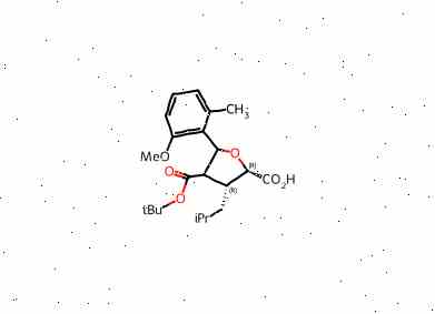 COc1cccc(C)c1C1O[C@@H](C(=O)O)[C@H](CC(C)C)C1C(=O)OC(C)(C)C